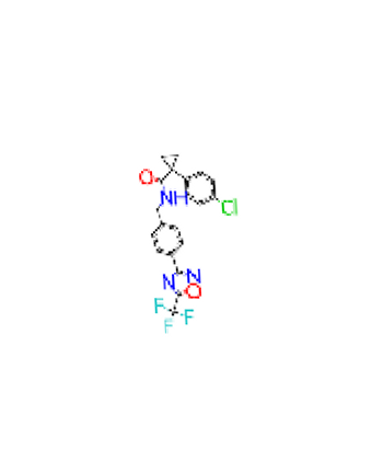 O=C(NCc1ccc(-c2noc(C(F)(F)F)n2)cc1)C1(c2ccc(Cl)cc2)CC1